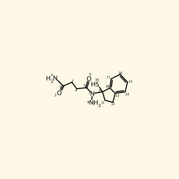 NC(=O)CCC(=O)N(N)C1(S)CCc2ccccc21